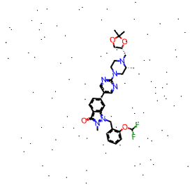 C[C@@H]1CN(c2ncc(-c3ccc4c(=O)n(C)n(Cc5ccccc5OC(F)F)c4c3)cn2)CCN1C[C@@H]1COC(C)(C)O1